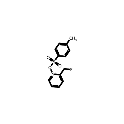 Cc1ccc(S(=O)(=O)O[n+]2ccccc2CF)cc1